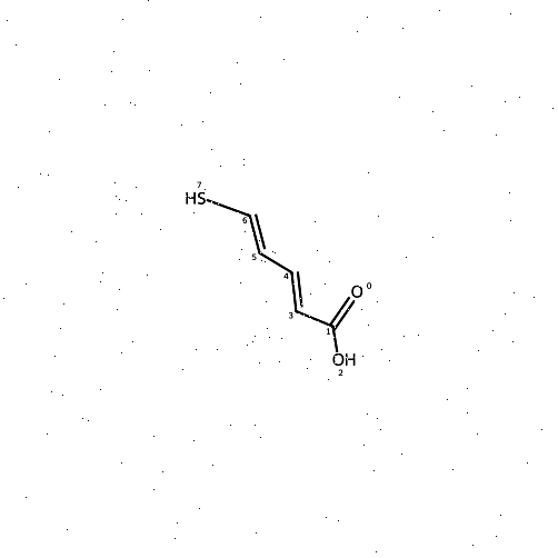 O=C(O)/C=C/C=C/S